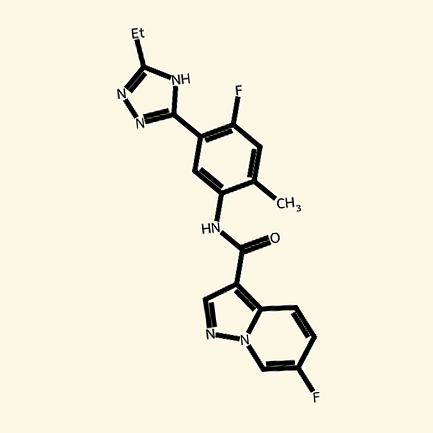 CCc1nnc(-c2cc(NC(=O)c3cnn4cc(F)ccc34)c(C)cc2F)[nH]1